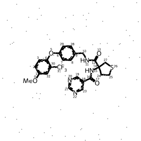 COc1ccc(Oc2ccc(CNC(=O)C3(NC(=O)c4cncnc4)CCSC3)cc2)c(C(F)(F)F)c1